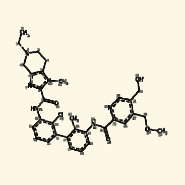 CCN1CCc2c(nc(C(=O)Nc3cccc(-c4cccc(NC(=O)c5cc(COC)c(CO)cn5)c4C)c3Cl)n2C)C1